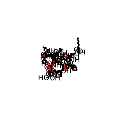 CCCCCCCS(=O)(=O)NCCCNCc1c(O)cc2c(c1O)-c1cc(ccc1O)[C@H]1NC(=O)[C@@H]3NC(=O)[C@H](CC(=O)NC(=O)NC4CC4)NC(=O)[C@H](NC(=O)[C@@H](CC(C)C)NC)[C@H](O)c4ccc(c(C)c4)Oc4cc3cc(c4O[C@@H]3O[C@H](CO)[C@@H](O)[C@H](O)[C@H]3O[C@H]3C[C@](C)(N)[C@H](O)[C@H](C)O3)O[C@@H]3CC=C(C=C3Cl)[C@@H](O)[C@H](NC1=O)C(=O)N[C@@H]2C(=O)NC1C2CC3CC(C2)CC1C3